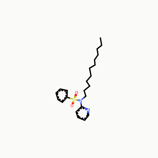 CCCCCCCCCCCCN(c1ccccn1)S(=O)(=O)c1ccccc1